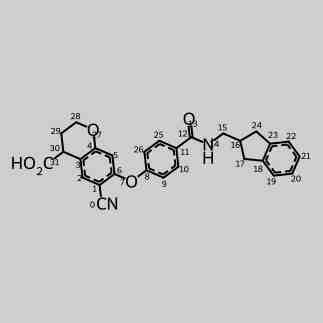 N#Cc1cc2c(cc1Oc1ccc(C(=O)NCC3Cc4ccccc4C3)cc1)OCCC2C(=O)O